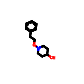 OC1CCN(OCCc2ccccc2)CC1